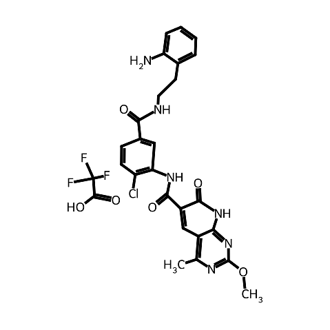 COc1nc(C)c2cc(C(=O)Nc3cc(C(=O)NCCc4ccccc4N)ccc3Cl)c(=O)[nH]c2n1.O=C(O)C(F)(F)F